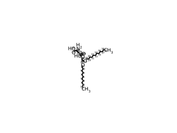 CCCCCCCCCCCCOC[C@H](COP(=O)(O)OC[C@H](N)C(=O)O)OCCCCCCCCCCCC